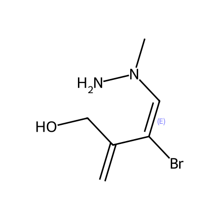 C=C(CO)/C(Br)=C\N(C)N